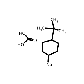 CC(C)(C)C1CC[CH]([Na])CC1.O=C(O)O